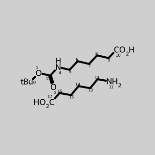 CC(C)(C)OC(=O)NCCCCCC(=O)O.NCCCCCC(=O)O